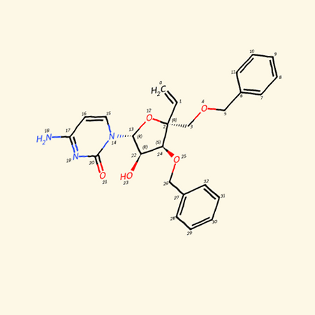 C=C[C@]1(COCc2ccccc2)O[C@@H](n2ccc(N)nc2=O)[C@H](O)[C@@H]1OCc1ccccc1